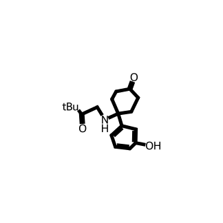 CC(C)(C)C(=O)CNC1(c2cccc(O)c2)CCC(=O)CC1